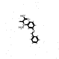 CC(C(=O)O)N(N)c1cccc(OCc2ccccc2)c1